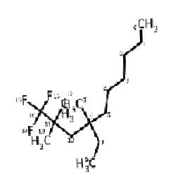 CCCCCCC(C)(CC)CC(C)(C)C(F)(F)F